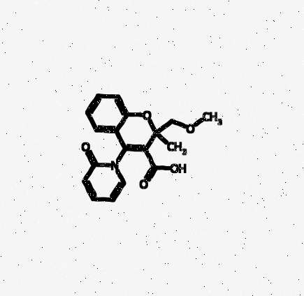 COCC1(C)Oc2ccccc2C(n2ccccc2=O)=C1C(=O)O